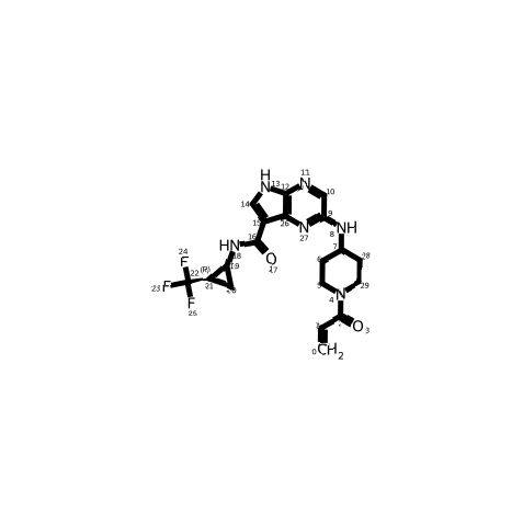 C=CC(=O)N1CCC(Nc2cnc3[nH]cc(C(=O)NC4C[C@H]4C(F)(F)F)c3n2)CC1